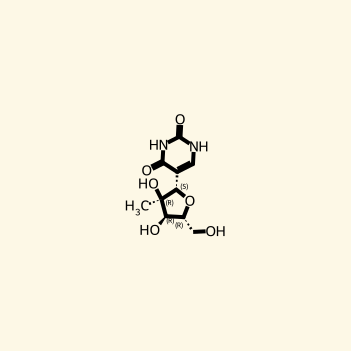 C[C@@]1(O)[C@H](O)[C@@H](CO)O[C@H]1c1c[nH]c(=O)[nH]c1=O